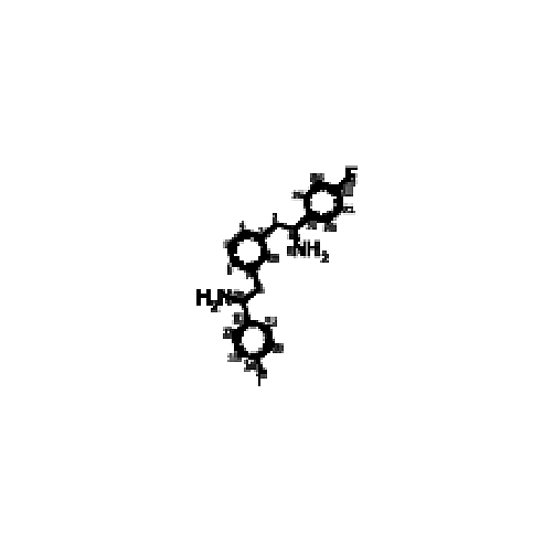 NC(Cc1cccc(CC(N)c2ccc(F)cc2)c1)c1ccc(F)cc1